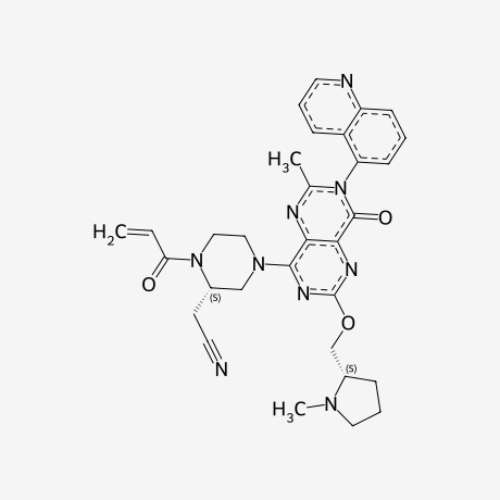 C=CC(=O)N1CCN(c2nc(OC[C@@H]3CCCN3C)nc3c(=O)n(-c4cccc5ncccc45)c(C)nc23)C[C@@H]1CC#N